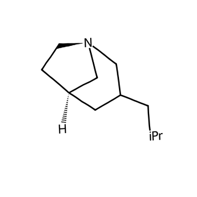 CC(C)CC1C[C@H]2CC[N@@](C1)C2